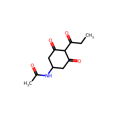 CCC(=O)C1C(=O)CC(NC(C)=O)CC1=O